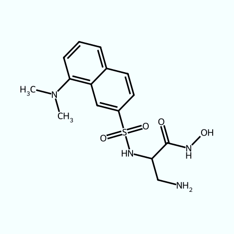 CN(C)c1cccc2ccc(S(=O)(=O)NC(CN)C(=O)NO)cc12